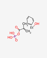 C=C(C)C(=O)OP(=O)(O)O.CCO.c1ccccc1